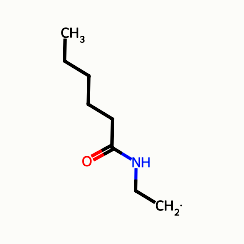 [CH2]CNC(=O)CCCCC